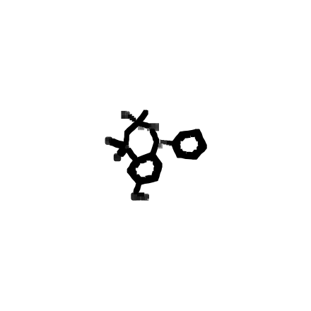 CC[C@@]1(C)CS(=O)(=O)c2cc(OC)ccc2[C@@H](c2ccccc2)N1